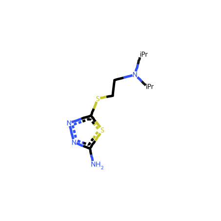 CC(C)N(CCSc1nnc(N)s1)C(C)C